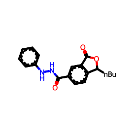 CCCCC1OC(=O)c2cc(C(=O)NNc3ccccc3)ccc21